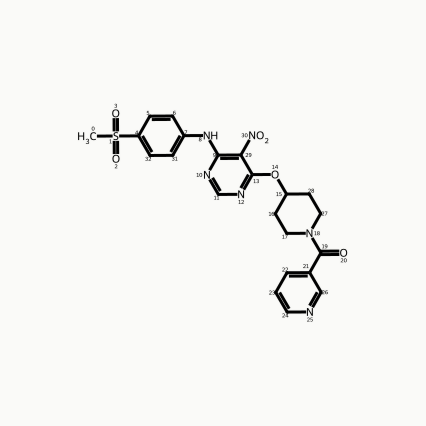 CS(=O)(=O)c1ccc(Nc2ncnc(OC3CCN(C(=O)c4cccnc4)CC3)c2[N+](=O)[O-])cc1